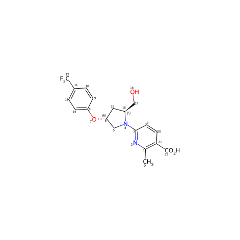 Cc1nc(N2C[C@H](Oc3ccc(C(F)(F)F)cc3)C[C@H]2CO)ccc1C(=O)O